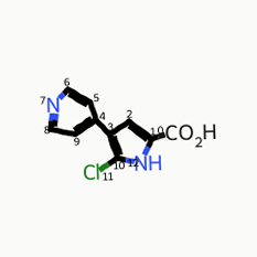 O=C(O)c1cc(-c2ccncc2)c(Cl)[nH]1